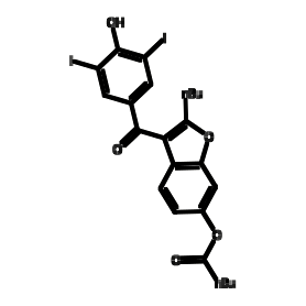 CCCCC(=O)Oc1ccc2c(C(=O)c3cc(I)c(O)c(I)c3)c(CCCC)oc2c1